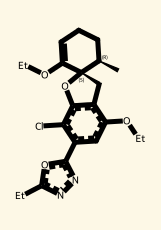 CCOC1=CCC[C@@H](C)[C@@]12Cc1c(OCC)cc(-c3nnc(CC)o3)c(Cl)c1O2